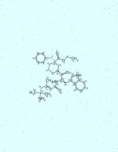 CCOC(=O)[C@]1(Cc2ccccc2)CCCN(C(=O)[C@@H](Cc2c[nH]c3ccccc23)NC(=O)/C=C(\C)CC(C)(C)N)C1